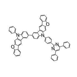 c1ccc(-c2cc(-c3ccccc3)nc(-c3ccc(-n4c5ccc(-c6ccc7c(c6)c6cc8c(cc6n7-c6ccccc6)oc6ccccc68)cc5c5cc6c(cc54)oc4ccccc46)cc3)n2)cc1